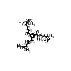 CCOC(C)(C)CCCNC(=O)c1cc(C(=O)NCCCC(C)(C)OCC)cc(C(=O)NCCCC(C)(C)OCC)c1